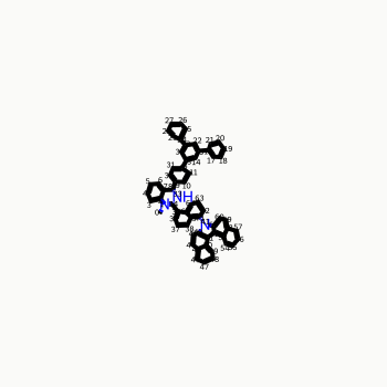 CN1c2ccccc2C(c2ccc(-c3cc(-c4ccccc4)cc(-c4ccccc4)c3)cc2)NC1c1cccc2c(-n3c4ccc5ccccc5c4c4c5ccccc5ccc43)cccc12